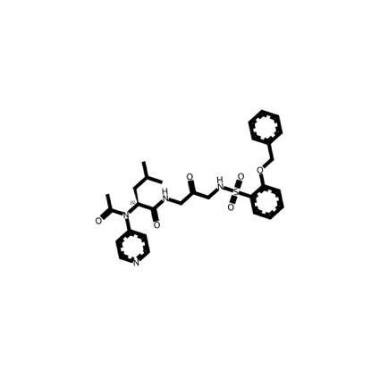 CC(=O)N(c1ccncc1)[C@@H](CC(C)C)C(=O)NCC(=O)CNS(=O)(=O)c1ccccc1OCc1ccccc1